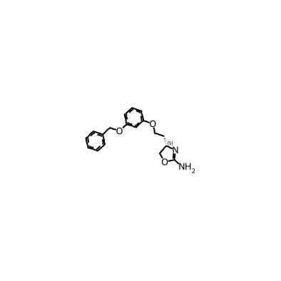 NC1=N[C@@H](CCOc2cccc(OCc3ccccc3)c2)CO1